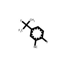 [C-]#[N+]c1cc(C(C)(F)C(F)(F)F)ccc1F